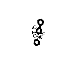 COc1c(-c2ccccc2)cc(F)c(S(=O)(=O)c2ccccc2)c1F